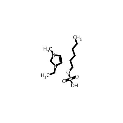 CCCCCCOS(=O)(=O)O.CCN1C=CN(C)C1